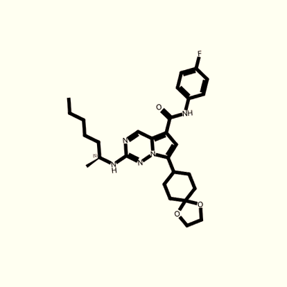 CCCCC[C@H](C)Nc1ncc2c(C(=O)Nc3ccc(F)cc3)cc(C3CCC4(CC3)OCCO4)n2n1